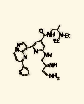 CCN(CC)C(C)CNC(=O)c1cc(NCC(=N)/C=C\N)nc(-c2cnn3ccc(-c4cccs4)nc23)c1